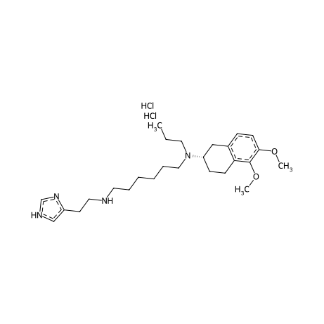 CCCN(CCCCCCNCCc1c[nH]cn1)[C@H]1CCc2c(ccc(OC)c2OC)C1.Cl.Cl